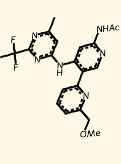 COCc1cccc(-c2cnc(NC(C)=O)cc2Nc2cc(C)nc(C(C)(F)F)n2)n1